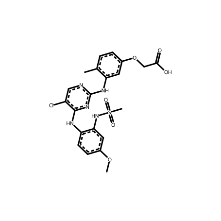 COc1ccc(Nc2nc(Nc3cc(OCC(=O)O)ccc3C)ncc2Cl)c(NS(C)(=O)=O)c1